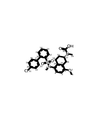 COc1ccc(N(C)S(=O)(=O)c2ccccc2-c2ccc(Cl)cc2)c2c1C[C@@H](N(C)C(=O)O)CC2